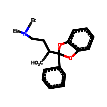 CCN(CC)CCC(C(=O)O)C1(c2ccccc2)Oc2ccccc2O1